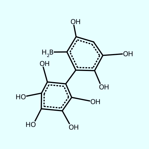 Bc1c(O)cc(O)c(O)c1-c1c(O)c(O)c(O)c(O)c1O